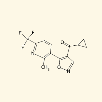 Cc1nc(C(F)(F)F)ccc1-c1oncc1C(=O)C1CC1